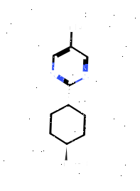 CCCCC[C@H]1CC[C@H](c2ncc(CCCC)cn2)CC1